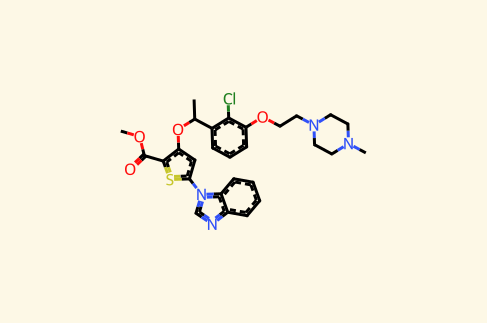 COC(=O)c1sc(-n2cnc3ccccc32)cc1OC(C)c1cccc(OCCN2CCN(C)CC2)c1Cl